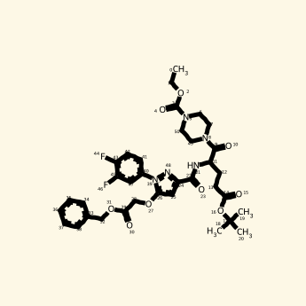 CCOC(=O)N1CCN(C(=O)C(CCC(=O)OC(C)(C)C)NC(=O)c2cc(OCC(=O)OCc3ccccc3)n(-c3ccc(F)c(F)c3)n2)CC1